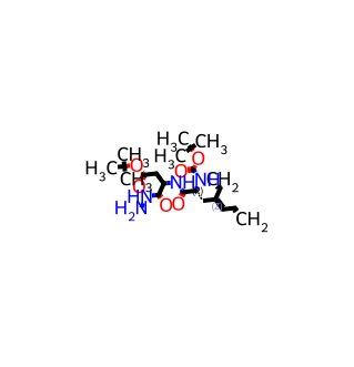 C=C/C=C(\C=C)C[C@@H](NC(=O)OC(C)(C)C)C(=O)NC(CC(=O)OC(C)(C)C)C(=O)NN